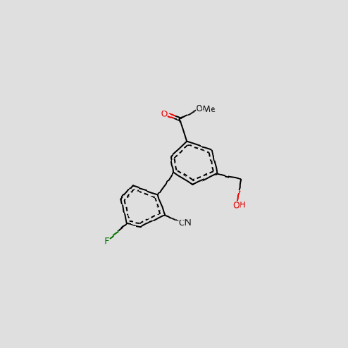 COC(=O)c1cc(CO)cc(-c2ccc(F)cc2C#N)c1